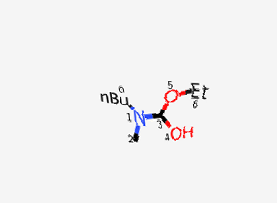 CCCCN(C)C(O)OCC